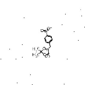 CC(C)(C)ON(C=O)Cc1ccc([N+](=O)[O-])cc1